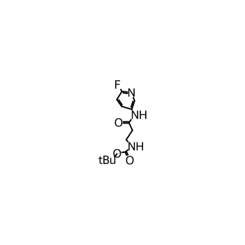 CC(C)(C)OC(=O)NCCC(=O)Nc1ccc(F)nc1